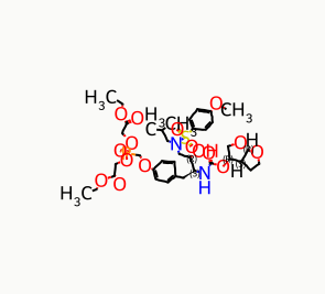 CCOC(=O)COP(=O)(COc1ccc(C[C@H](NC(=O)O[C@H]2CO[C@H]3OCC[C@H]32)[C@H](O)CN(CC(C)C)S(=O)(=O)c2ccc(OC)cc2)cc1)OCC(=O)OCC